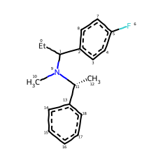 CCC(c1ccc(F)cc1)N(C)[C@H](C)c1ccccc1